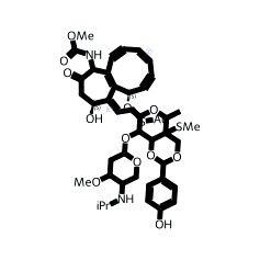 COC(=O)NC1C(=O)C[C@H](O)/C(=C/CSC(C)=O)C2=C1C#C/C=C\C#C[C@@H]2OC1OC(C)C2(SC)COC(c3ccc(O)cc3)OC2C1OC1CC(OC)C(NC(C)C)CO1